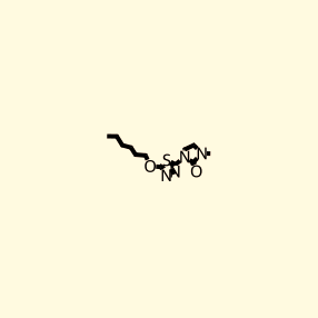 CCCCCCOc1nnc(N2CCN(C)C2=O)s1